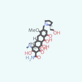 COc1c(CN2CCC[C@@H]2CCO)cc(O)c2c1C[C@H]1C[C@H]3[C@H](N(C)C)C(O)=C(C(N)=O)C(=O)[C@@]3(O)C(O)=C1C2=O